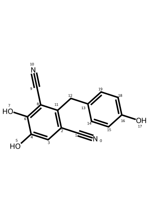 N#Cc1cc(O)c(O)c(C#N)c1Cc1ccc(O)cc1